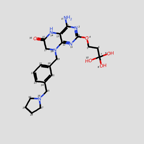 Nc1nc(OCCC(O)(O)O)nc2c1NC(=O)CN2Cc1cccc(CN2CCCC2)c1